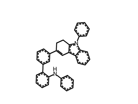 C1=C(c2cccc(-c3ccccc3Nc3ccccc3)c2)CCc2c1c1ccccc1n2-c1ccccc1